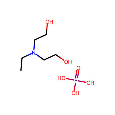 CCN(CCO)CCO.O=P(O)(O)O